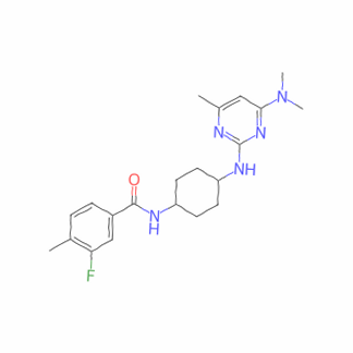 Cc1cc(N(C)C)nc(NC2CCC(NC(=O)c3ccc(C)c(F)c3)CC2)n1